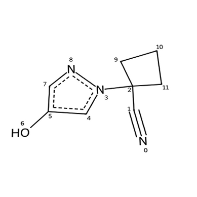 N#CC1(n2cc(O)cn2)CCC1